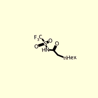 CCCCCCCC(=O)NS(=O)(=O)C(F)(F)F